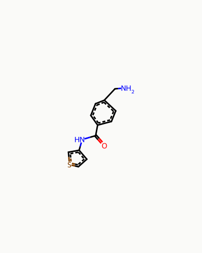 NCc1ccc(C(=O)Nc2ccsc2)cc1